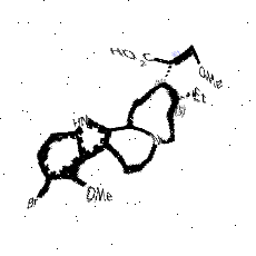 CC[C@@H]1CN2CCc3c([nH]c4ccc(Br)c(OC)c34)C2C[C@@H]1/C(=C\OC)C(=O)O